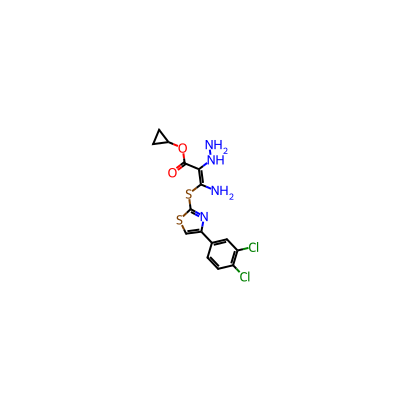 NN/C(C(=O)OC1CC1)=C(\N)Sc1nc(-c2ccc(Cl)c(Cl)c2)cs1